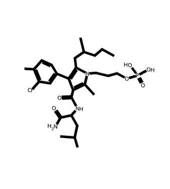 CCCC(C)Cc1c(-c2ccc(C)c(Cl)c2)c(C(=O)NC(CC(C)C)C(N)=O)c(C)n1CCCOP(=O)(O)O